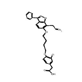 C=CCc1c(OCCCCOc2ccc(CC(=O)O)cc2Cl)ccc2c(-c3ccccc3)noc12